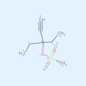 C#CC(CC)(CC)OS(C)(=O)=O